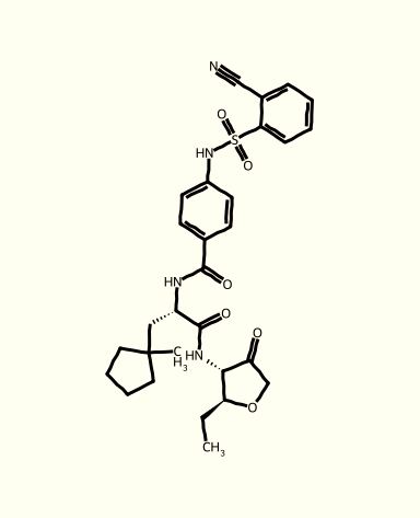 CC[C@@H]1OCC(=O)[C@H]1NC(=O)[C@H](CC1(C)CCCC1)NC(=O)c1ccc(NS(=O)(=O)c2ccccc2C#N)cc1